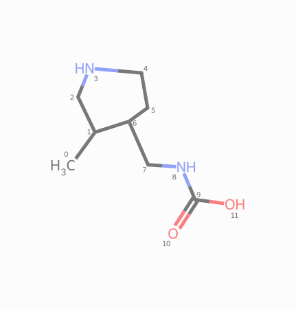 CC1CNCCC1CNC(=O)O